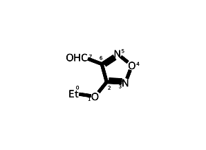 CCOc1nonc1C=O